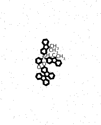 CC1(C)c2ccccc2-c2ccc(N(c3ccc4c(c3)C(C)(C)c3ccccc3-4)c3cccc4c3Oc3cc5c(cc3O4)C3(c4ccccc4-c4ccccc43)c3ccccc3-5)cc21